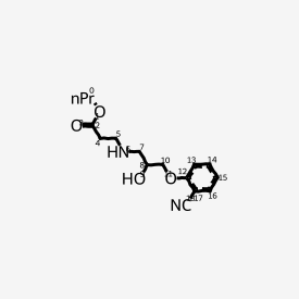 CCCOC(=O)CCNCC(O)COc1ccccc1C#N